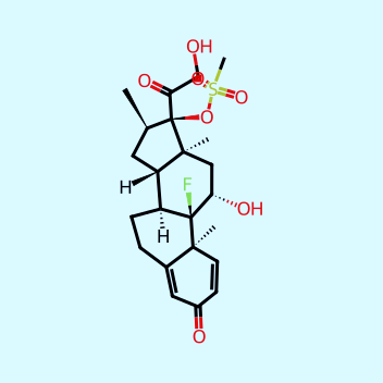 C[C@@H]1C[C@H]2[C@@H]3CCC4=CC(=O)C=C[C@]4(C)[C@@]3(F)[C@@H](O)C[C@]2(C)[C@@]1(OS(C)(=O)=O)C(=O)CO